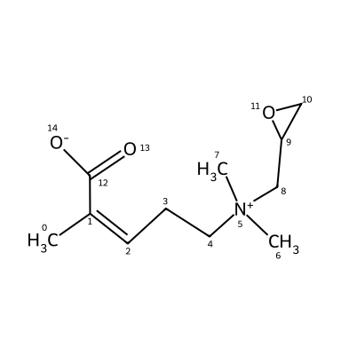 CC(=CCC[N+](C)(C)CC1CO1)C(=O)[O-]